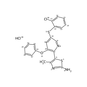 Cc1nc(N)sc1-c1ncc(Sc2ccccc2Cl)cc1Oc1ccccc1.Cl